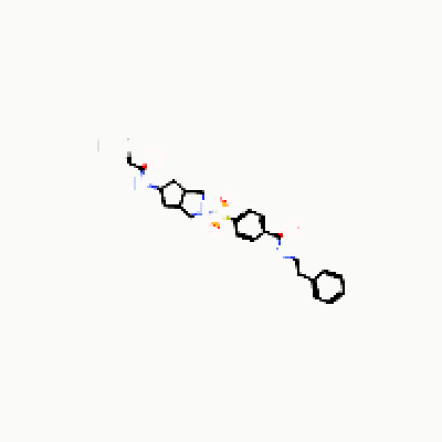 C=CC(=O)NC1CC2CN(S(=O)(=O)c3ccc(C(=O)NCCc4ccccc4)cc3)CC2C1